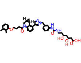 Cc1cccc(OCCCC(=O)N2C[C@@H]3C[C@@H]3c3c(-c4cnn(Cc5cccc(NC(=O)NCC[C@@H](O)C[C@@H](O)CC(=O)O)c5)c4)cccc32)c1C